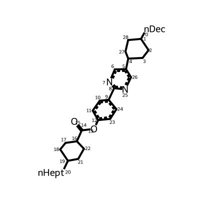 CCCCCCCCCCC1CCC(c2cnc(-c3ccc(OC(=O)C4CCC(CCCCCCC)CC4)cc3)nc2)CC1